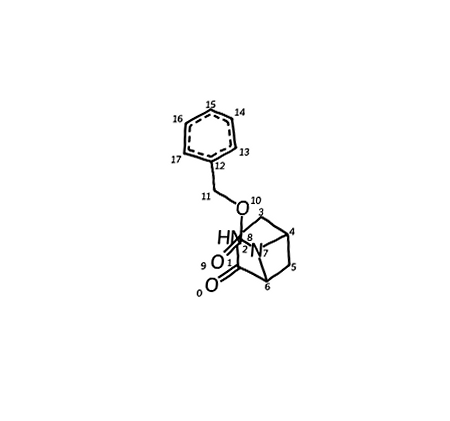 O=C1NCC2CC1N2C(=O)OCc1ccccc1